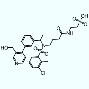 Cc1c(Cl)cccc1S(=O)(=O)N(CCCC(=O)NCCS(=O)(=O)O)C(C)c1cccc(-c2ccncc2CO)c1